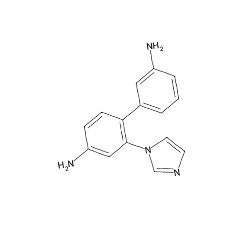 Nc1cccc(-c2ccc(N)cc2-n2ccnc2)c1